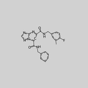 Cc1cc(CNC(=O)c2cc(C(=O)NCc3ccccc3)n3ncnc3n2)ccc1F